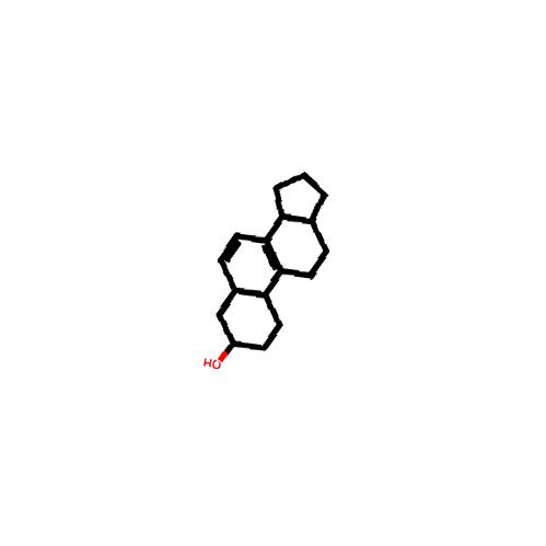 OC1CCC2C3=C(C=CC2C1)C1CCCC1CC3